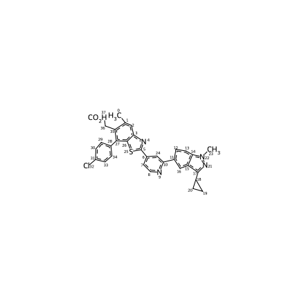 Cc1cc2nc(-c3ccnc(-c4ccc5c(c4)c(C4CC4)nn5C)c3)sc2c(-c2ccc(Cl)cc2)c1CC(=O)O